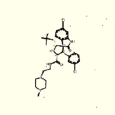 CN1CCN(CCNC(=O)[C@@H]2N[C@H](CC(C)(C)C)[C@]3(C(=O)Nc4cc(Cl)ccc43)[C@H]2c2cccc(Cl)c2)CC1